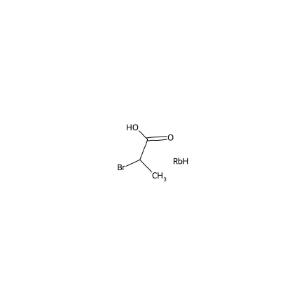 CC(Br)C(=O)O.[RbH]